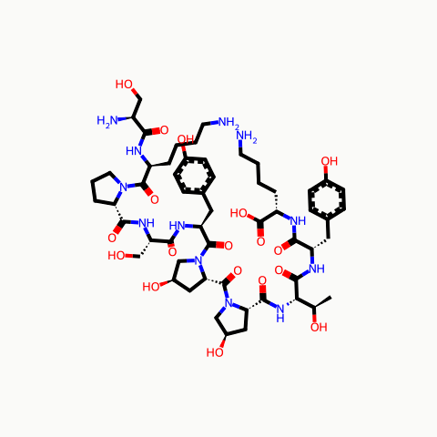 C[C@@H](O)[C@H](NC(=O)[C@@H]1C[C@@H](O)CN1C(=O)[C@@H]1C[C@@H](O)CN1C(=O)[C@H](Cc1ccc(O)cc1)NC(=O)[C@H](CO)NC(=O)[C@@H]1CCCN1C(=O)[C@H](CCCCN)NC(=O)[C@@H](N)CO)C(=O)N[C@@H](Cc1ccc(O)cc1)C(=O)N[C@@H](CCCCN)C(=O)O